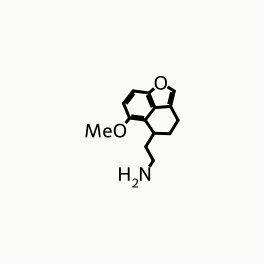 COc1ccc2occ3c2c1C(CCN)CC3